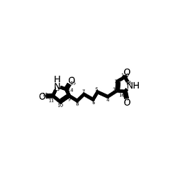 O=C1C=C(CCCCCC2=CC(=O)NC2=O)C(=O)N1